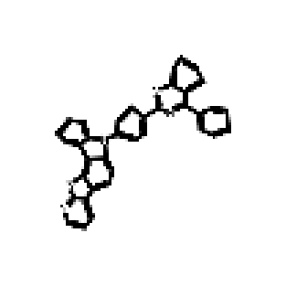 c1ccc(-c2nc(-c3ccc(-n4c5ccccc5c5c6sc7ncccc7c6ccc54)cc3)nc3ccccc23)cc1